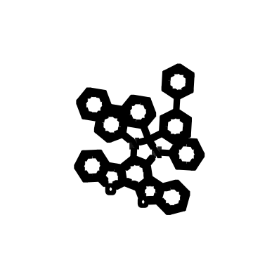 c1ccc(-c2cccc(C3(c4cccc(-c5ccccc5)c4)N(c4ccccc4)c4c(c5c6ccccc6oc5c5oc6ccccc6c45)N3c3ccccc3)c2)cc1